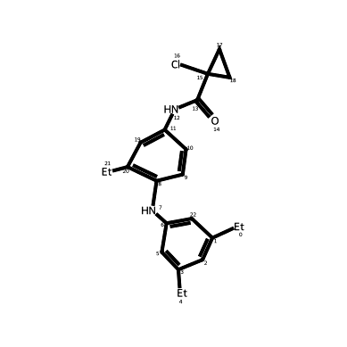 CCc1cc(CC)cc(Nc2ccc(NC(=O)C3(Cl)CC3)cc2CC)c1